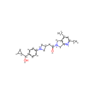 Cc1cc(C)c2c(n1)CN(C(=O)CC1CN(c3ccc(C(O)C4CC4)cc3)C1)C2